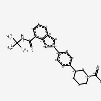 CC(C)(C)NC(=O)c1cccc2cn(-c3ccc(C4CCCN(C(=O)O)C4)cc3)nc12